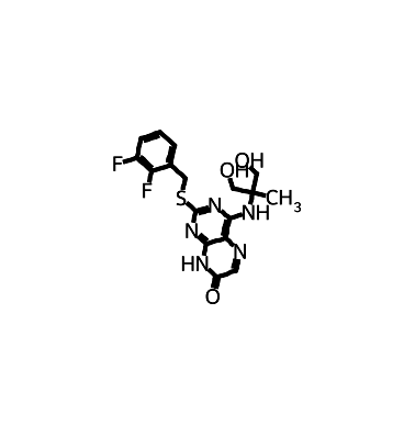 CC(CO)(CO)Nc1nc(SCc2cccc(F)c2F)nc2[nH]c(=O)cnc12